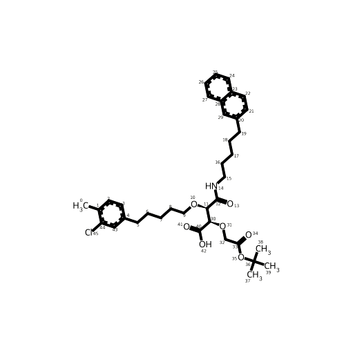 Cc1ccc(CCCCCO[C@@H](C(=O)NCCCCCc2ccc3ccccc3c2)[C@@H](OCC(=O)OC(C)(C)C)C(=O)O)cc1Cl